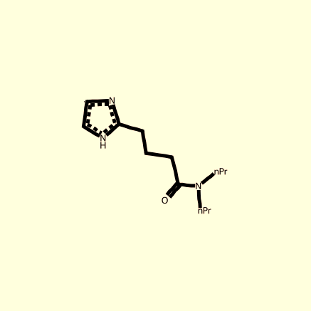 CCCN(CCC)C(=O)CCCc1n[c]c[nH]1